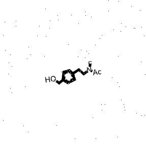 CC(=O)N(F)CCc1ccc(CO)cc1